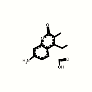 CCc1c(C)c(=O)oc2cc(N)ccc12.O=CO